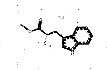 CCCOC(=O)[C@@H](N)Cc1c[nH]c2ccccc12.Cl